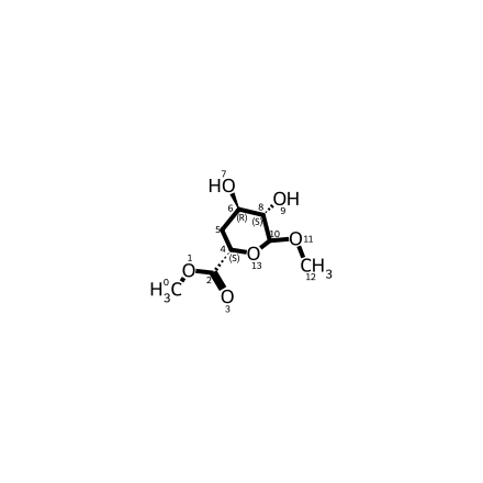 COC(=O)[C@@H]1C[C@@H](O)[C@H](O)C(OC)O1